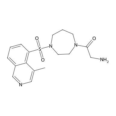 Cc1cncc2cccc(S(=O)(=O)N3CCCN(C(=O)CN)CC3)c12